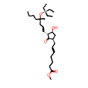 CCCCC(C)(CC=C[C@H]1C(=O)[C@H](CC=CCCCC(=O)OC)C[C@@H]1O)O[Si](CC)(CC)CC